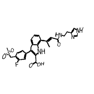 C/C(=C\C(=O)NCCc1c[nH]cn1)c1cccc2c(-c3ccc(CS(C)(=O)=O)c(F)c3)c(C(=O)O)[nH]c12